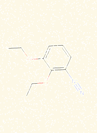 CCOc1cccc([N+]#N)c1OCC